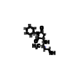 C/C(=C/C=N)NC1CC(=O)N(c2ccccc2)C1=O